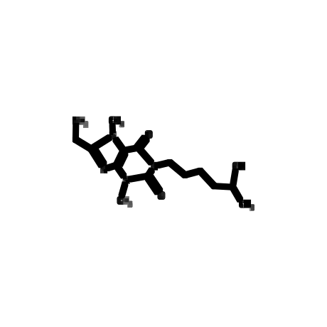 CC(O)CCCCn1c(=O)c2c(nc(CN)n2C)n(C)c1=O